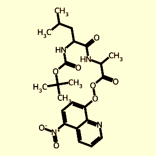 CC(C)CC(NC(=O)OC(C)(C)C)C(=O)NC(C)C(=O)OOc1ccc([N+](=O)[O-])c2cccnc12